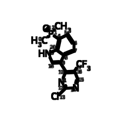 CP(C)(=O)c1cccc2c(-c3nc(Cl)ncc3C(F)(F)F)c[nH]c12